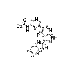 CCC(=O)Nc1cncc(-c2cnc3[nH]nc(-c4nc5cccnc5[nH]4)c3c2F)c1